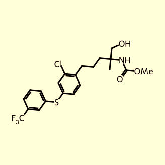 COC(=O)NC(C)(CO)CCCc1ccc(Sc2cccc(C(F)(F)F)c2)cc1Cl